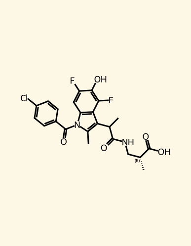 Cc1c(C(C)C(=O)NC[C@@H](C)C(=O)O)c2c(F)c(O)c(F)cc2n1C(=O)c1ccc(Cl)cc1